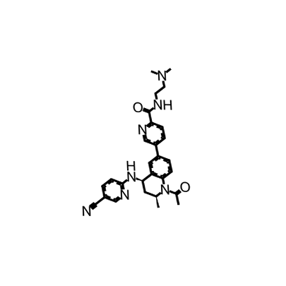 CC(=O)N1c2ccc(-c3ccc(C(=O)NCCN(C)C)nc3)cc2[C@H](Nc2ccc(C#N)cn2)C[C@@H]1C